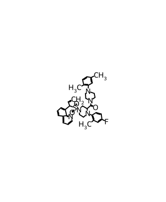 C=CC(c1cccc2cccnc12)S(=O)(=O)N1CCN(c2ccc(F)cc2C)C(C(=O)N2CCN(c3cc(C)ccc3C)CC2)C1